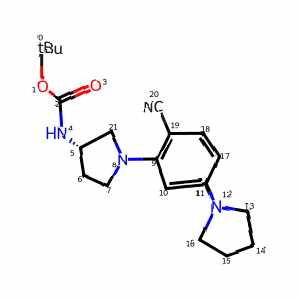 CC(C)(C)OC(=O)N[C@H]1CCN(c2cc(N3CCCC3)ccc2C#N)C1